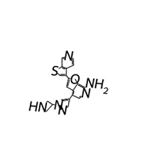 Nc1ncc(-c2cnn(C3CNC3)c2)c2cc(-c3csc4cnccc34)oc12